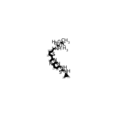 CC(C)(C)OC(=O)NCc1ccc(-c2cnc3ccc(NC(=S)NC4CC4)nc3n2)s1